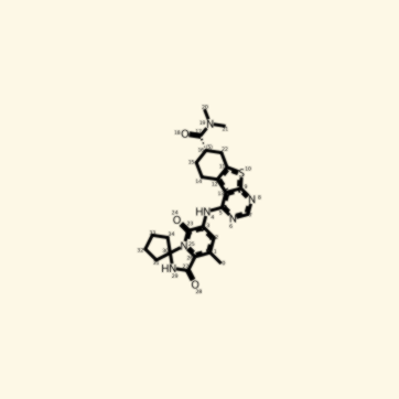 Cc1cc(Nc2ncnc3sc4c(c23)CC[C@H](C(=O)N(C)C)C4)c(=O)n2c1C(=O)NC21CCCC1